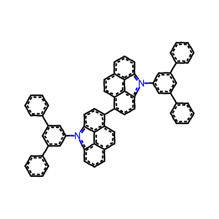 c1ccc(-c2cc(-c3ccccc3)cc(-n3c4cccc5ccc6c(-c7ccc8c9c7ccc7cccc(c79)n8-c7cc(-c8ccccc8)cc(-c8ccccc8)c7)ccc3c6c54)c2)cc1